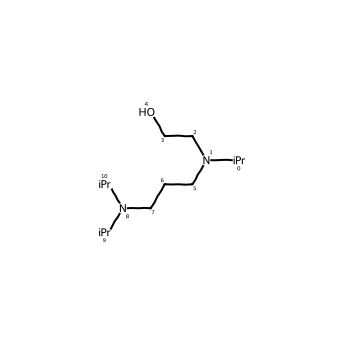 CC(C)N(CCO)CCCN(C(C)C)C(C)C